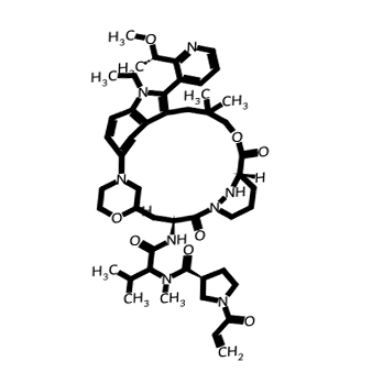 C=CC(=O)N1CC[C@H](C(=O)N(C)C(C(=O)N[C@H]2C[C@H]3CN(CCO3)c3ccc4c(c3)c(c(-c3cccnc3[C@H](C)OC)n4CC)CC(C)(C)COC(=O)[C@@H]3CCCN(N3)C2=O)C(C)C)C1